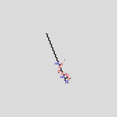 CCCCCCCCCCCCCCCCCCNC(=O)OCC(COC(=O)NC(C[N+](C)(C)C)C(=O)OC)OC.[I-]